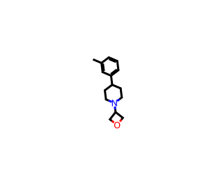 Cc1cccc(C2CCN(C3COC3)CC2)c1